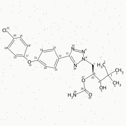 CC(C)(C)C(O)[C@H](Cn1nnc(-c2ccc(Oc3ccc(Cl)cc3)cc2)n1)OC(N)=O